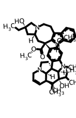 CC[C@]1(O)C[C@@H]2C[C@](C(=O)OC)(c3cc4c(cc3OC)N(C)[C@@H]3[C@]45CCN4CC=C[C@](CC)([C@@H]45)[C@@H](C)[C@]3(O)C(C)C)c3[nH]c4ccccc4c3CCN2C1